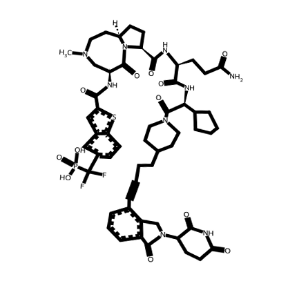 CN1CC[C@H]2CC[C@@H](C(=O)N[C@@H](CCC(N)=O)C(=O)N[C@H](C(=O)N3CCC(CCC#Cc4cccc5c4CN(C4CCC(=O)NC4=O)C5=O)CC3)C3CCCC3)N2C(=O)[C@@H](NC(=O)c2cc3cc(C(F)(F)P(=O)(O)O)ccc3s2)C1